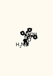 Cc1nc(N)c2ccc(C(=O)[C@H](OCc3ccccc3)[C@H](OCc3ccccc3)[C@@H](CO)OCc3ccccc3)n2n1